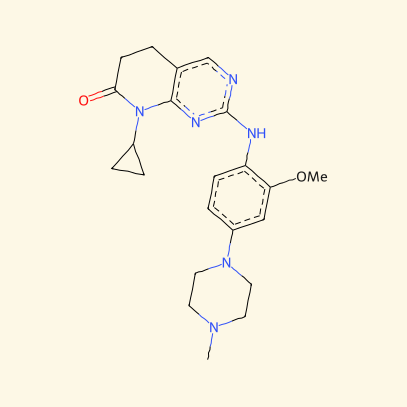 COc1cc(N2CCN(C)CC2)ccc1Nc1ncc2c(n1)N(C1CC1)C(=O)CC2